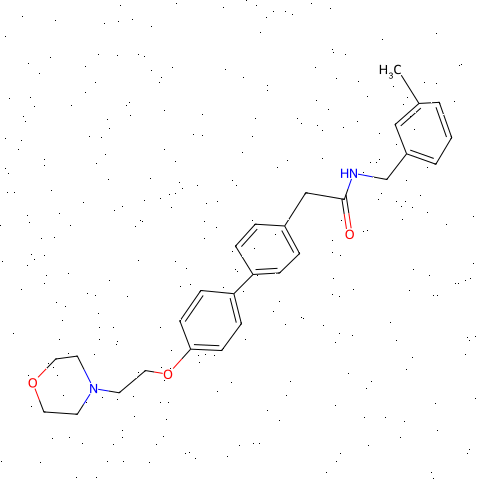 Cc1cccc(CNC(=O)Cc2ccc(-c3ccc(OCCN4CCOCC4)cc3)cc2)c1